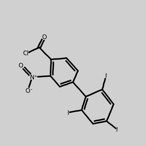 O=C(Cl)c1ccc(-c2c(I)cc(I)cc2I)cc1[N+](=O)[O-]